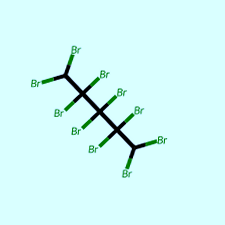 Br[C](Br)C(Br)(Br)C(Br)(Br)C(Br)(Br)[C](Br)Br